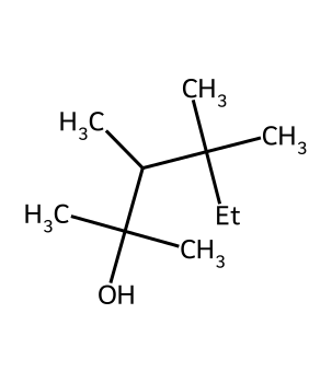 CCC(C)(C)C(C)C(C)(C)O